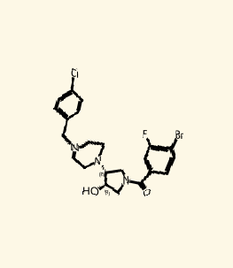 O=C(c1ccc(Br)c(F)c1)N1C[C@@H](O)[C@H](N2CCN(Cc3ccc(Cl)cc3)CC2)C1